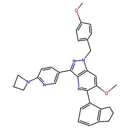 COc1ccc(Cn2nc(-c3ccc(N4C[CH]C4)nc3)c3nc(-c4cccc5c4CCC5)c(OC)cc32)cc1